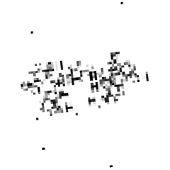 Nc1cccc2c(C3OC(=O)C4=C3CC(O)C=C4)c(CNCc3ccc(CNCc4[nH]c5c(N)cccc5c4C4OC(=O)c5ccc(O)cc54)cc3)[nH]c12